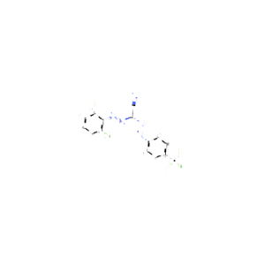 N#CC(N=Nc1ccc(C(F)(F)F)cc1)=NNc1c(F)cccc1F